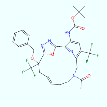 CC(=O)N1CC/C=C/CC(OCc2ccccc2)(C(F)(F)F)c2nnc(o2)-c2nc(c(C(F)(F)F)cc2NC(=O)OC(C)(C)C)C1